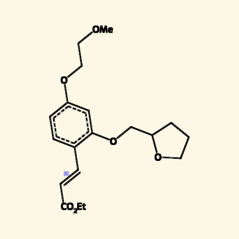 CCOC(=O)/C=C/c1ccc(OCCOC)cc1OCC1CCCO1